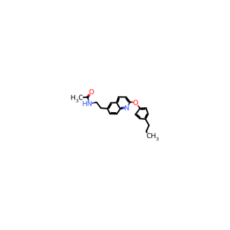 CCCc1ccc(Oc2ccc3cc(CCNC(C)=O)ccc3n2)cc1